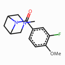 COc1ccc(C(=O)N2C3CC2CN(C)C3)cc1F